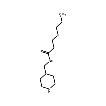 COCCOCCC(=O)NCC1CCNCC1